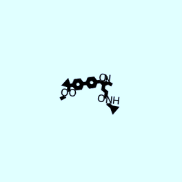 CCOC(=O)C1(c2ccc(-c3ccc(-c4onc(C)c4CCC(=O)NCC4CC4)cc3)cc2)CC1